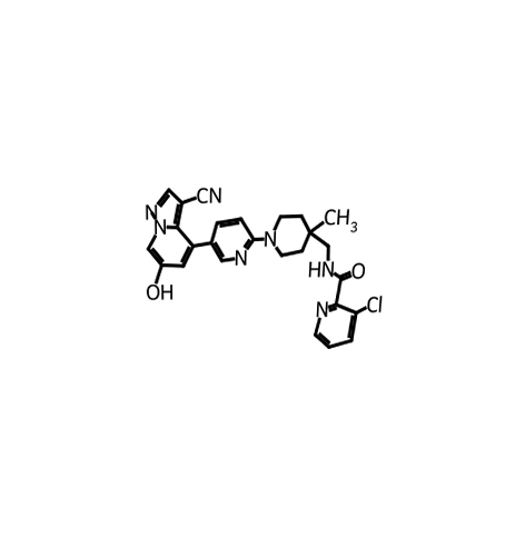 CC1(CNC(=O)c2ncccc2Cl)CCN(c2ccc(-c3cc(O)cn4ncc(C#N)c34)cn2)CC1